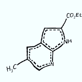 CCOC(=O)c1cc2cc(C)cnc2[nH]1